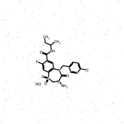 CCC(C)NC(=O)c1cc2c(cc1F)S(=O)(=O)C[C@H](N)C(=O)N2Cc1ccc(Cl)cc1.Cl